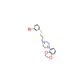 Brc1cccc(SCCCN2CCN(c3cccc4c3OCCO4)CC2)c1